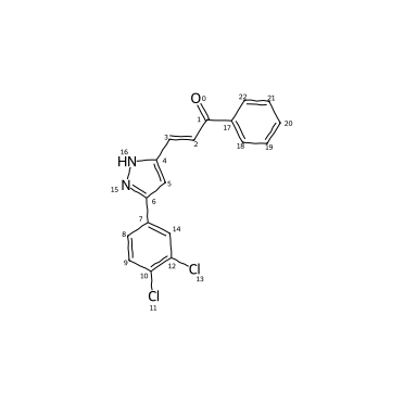 O=C(C=Cc1cc(-c2ccc(Cl)c(Cl)c2)n[nH]1)c1ccccc1